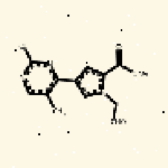 COC(=O)c1cc(-c2nc(Cl)ncc2C)cn1CC=O